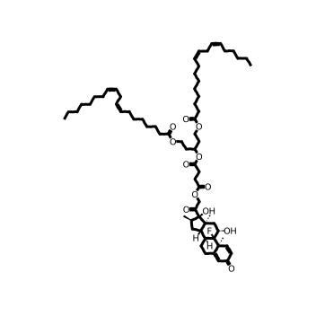 CCCCC/C=C\C/C=C\CCCCCCCC(=O)OCCC(CCOC(=O)CCCCCC/C=C\C/C=C\CCCCCCC)OC(=O)CCC(=O)OCC(=O)[C@@]1(O)[C@H](C)C[C@H]2[C@@H]3CCC4=CC(=O)C=C[C@]4(C)[C@@]3(F)[C@@H](O)C[C@@]21C